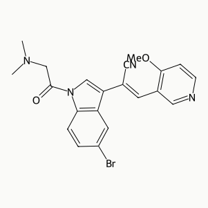 COc1ccncc1C=C(C#N)c1cn(C(=O)CN(C)C)c2ccc(Br)cc12